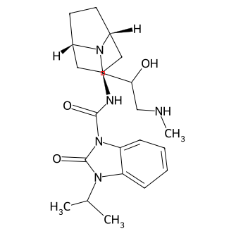 CNCC(O)CN1[C@@H]2CC[C@H]1C[C@H](NC(=O)n1c(=O)n(C(C)C)c3ccccc31)C2